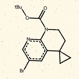 CC(C)(C)OC(=O)N1CCC2(CC2)c2cc(Br)cnc21